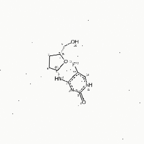 O=c1nc(N[C@@H]2CC[C@H](CO)O2)c(F)c[nH]1